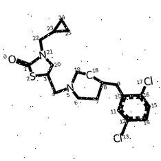 O=C1SC(CN2CCC(Cc3cc(Cl)ccc3Cl)CC2)CN1CC1CC1